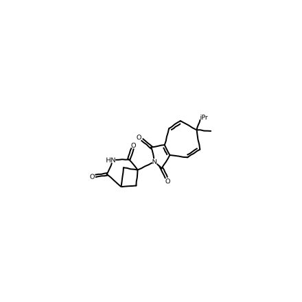 CC(C)C1(C)C=CC2=C(C=C1)C(=O)N(C13CC(C1)C(=O)NC3=O)C2=O